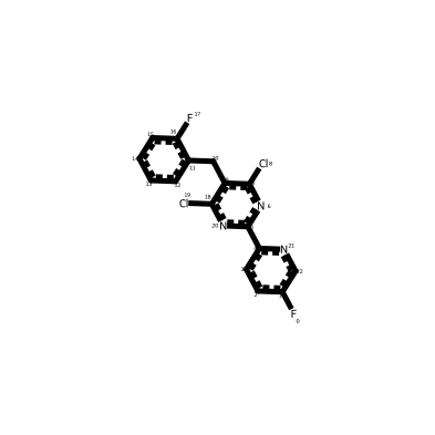 Fc1ccc(-c2nc(Cl)c(Cc3ccccc3F)c(Cl)n2)nc1